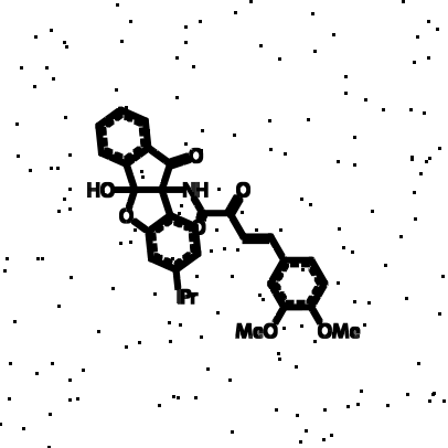 COc1ccc(C=CC(=O)C(=O)NC23C(=O)c4ccccc4C2(O)Oc2cc(C(C)C)ccc23)cc1OC